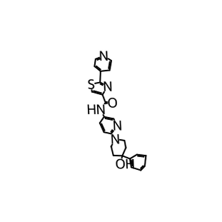 O=C(Nc1ccc(N2CCC(O)(c3ccccc3)CC2)nc1)c1csc(-c2ccncc2)n1